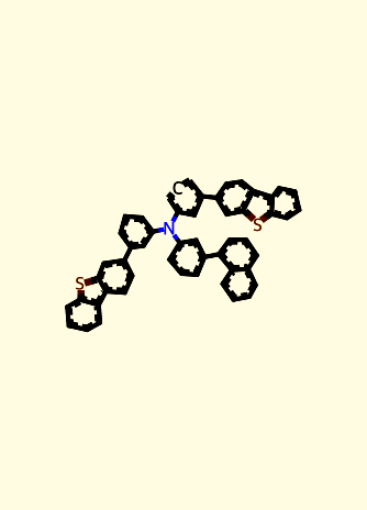 c1cc(-c2ccc3c(c2)sc2ccccc23)cc(N(c2cccc(-c3ccc4c(c3)sc3ccccc34)c2)c2cccc(-c3cccc4ccccc34)c2)c1